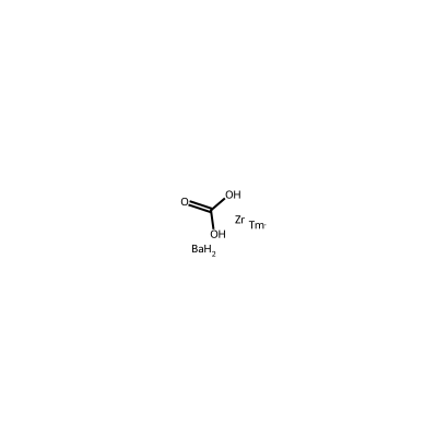 O=C(O)O.[BaH2].[Tm].[Zr]